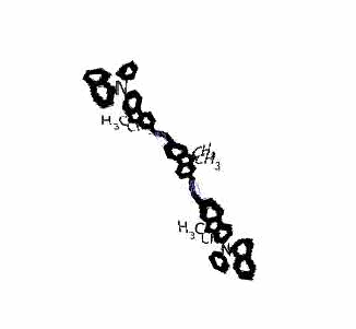 CC1(C)c2cc(/C=C/c3ccc4c(c3)C(C)(C)c3cc(N(c5ccccc5)c5cc#cc6ccccc56)ccc3-4)ccc2-c2ccc(/C=C/c3ccc4c(c3)C(C)(C)c3cc(N(c5ccccc5)c5cc#cc6ccccc56)ccc3-4)cc21